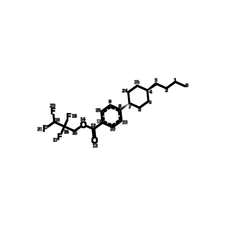 CCCC[C@H]1CC[C@H](c2ccc(C(=O)OCC(F)(F)C(F)F)cc2)CC1